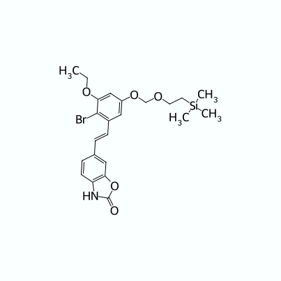 CCOc1cc(OCOCC[Si](C)(C)C)cc(C=Cc2ccc3[nH]c(=O)oc3c2)c1Br